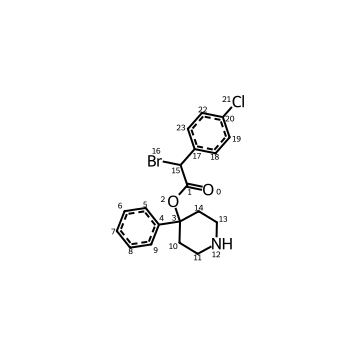 O=C(OC1(c2ccccc2)CCNCC1)C(Br)c1ccc(Cl)cc1